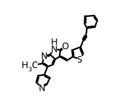 Cc1nc2c(cc1-c1ccncc1)C(=Cc1cc(C#Cc3ccccc3)cs1)C(=O)N2